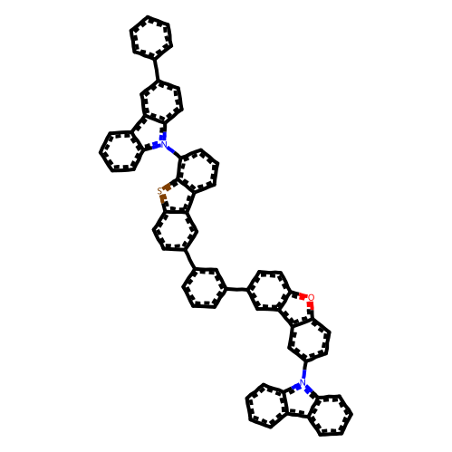 c1ccc(-c2ccc3c(c2)c2ccccc2n3-c2cccc3c2sc2ccc(-c4cccc(-c5ccc6oc7ccc(-n8c9ccccc9c9ccccc98)cc7c6c5)c4)cc23)cc1